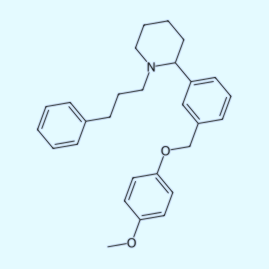 COc1ccc(OCc2cccc(C3CCCCN3CCCc3ccccc3)c2)cc1